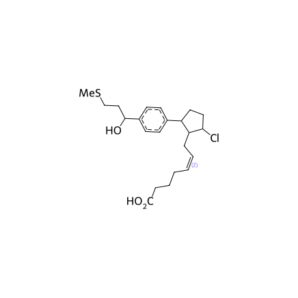 CSCCC(O)c1ccc(C2CCC(Cl)C2C/C=C\CCCC(=O)O)cc1